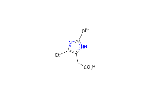 CCCc1nc(CC)c(CC(=O)O)[nH]1